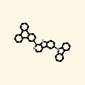 c1ccc2c(c1)c1ccccc1c1cc(-c3nccc4c3sc3ccc(-n5c6ccccc6c6ccccc65)cc34)ccc21